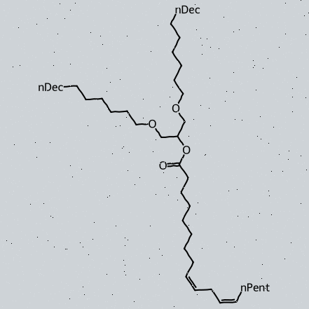 CCCCC/C=C\C/C=C\CCCCCCCC(=O)OC(COCCCCCCCCCCCCCCCC)COCCCCCCCCCCCCCCCC